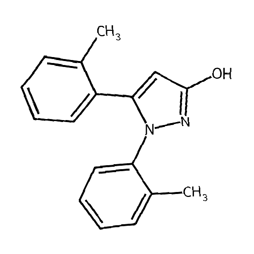 Cc1ccccc1-c1cc(O)nn1-c1ccccc1C